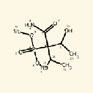 CCOP(=O)(OCC)C(C(N)=O)(C(C)O)C(C)O